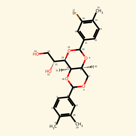 Cc1ccc(C2OC[C@@H]3OC(c4ccc(C)c(Br)c4)O[C@H]([C@H](O)CO)[C@@H]3O2)cc1C